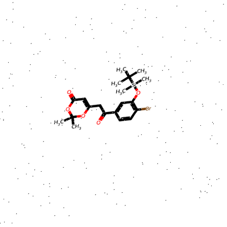 CC1(C)OC(=O)C=C(CC(=O)c2ccc(Br)c(O[Si](C)(C)C(C)(C)C)c2)O1